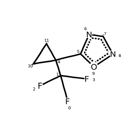 FC(F)(F)C1(c2n[c]no2)CC1